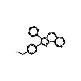 ClCc1ccc(-c2nc3c4cnccc4ccn3c2-c2ccccc2)cc1